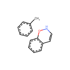 C1=Cc2ccccc2ON1.Cc1ccccc1